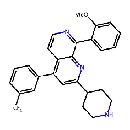 COc1ccccc1-c1nccc2c(-c3cccc(C(F)(F)F)c3)cc(C3CCNCC3)nc12